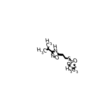 COP(=O)(SC)SCC=C1NC(C(C)C)=NO1